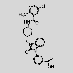 Cc1ncc(Cl)cc1C(=O)NC1CCC(Cn2c(=O)n(-c3cccc(C(=O)O)c3)c3ccccc32)CC1